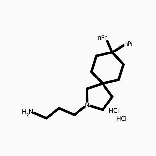 CCCC1(CCC)CCC2(CCN(CCCN)C2)CC1.Cl.Cl